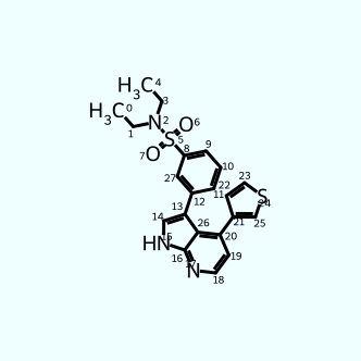 CCN(CC)S(=O)(=O)c1cccc(-c2c[nH]c3nccc(-c4ccsc4)c23)c1